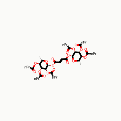 CCCC(=O)O[C@@H]1[C@@H](OC(=O)CCC)[C@H](C)O[C@H](OC(=O)/C=C/C(=O)O[C@H]2O[C@@H](C)[C@H](OC(=O)CCC)[C@@H](OC(=O)CCC)[C@H]2OC(=O)CCC)[C@@H]1OC(=O)CCC